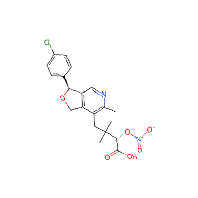 Cc1ncc2c(c1CC(C)(C)[C@H](O[N+](=O)[O-])C(=O)O)CO[C@H]2c1ccc(Cl)cc1